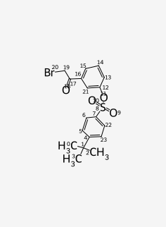 CC(C)(C)c1ccc(S(=O)(=O)Oc2cccc(C(=O)CBr)c2)cc1